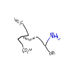 CCCCCCC(N)CCC.O=C(O)CCC(=O)O